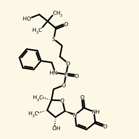 C[C@H]1[C@@H](O)[C@H](n2ccc(=O)[nH]c2=O)O[C@]1(C)COP(=O)(NCc1ccccc1)OCCSC(=O)C(C)(C)CO